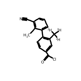 [2H]C([2H])([2H])c1cc(C(=O)Cl)ccc1-c1cccc(C#N)c1C